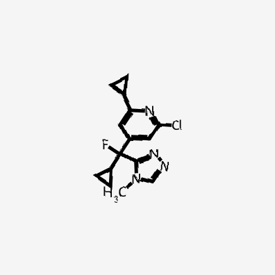 Cn1cnnc1C(F)(c1cc(Cl)nc(C2CC2)c1)C1CC1